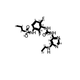 CCCS(=O)(=O)Nc1ccc(F)c(NC(=O)Nc2cc(NCC)ncn2)c1F